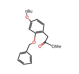 CCCCOc1ccc(CC(=O)OC)c(OCc2ccccc2)c1